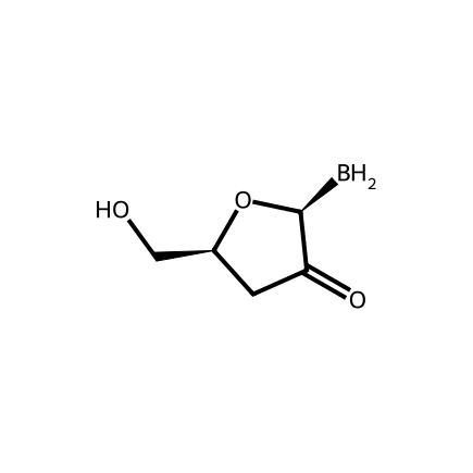 B[C@@H]1O[C@H](CO)CC1=O